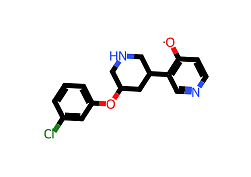 [O]c1ccncc1C1CNCC(Oc2cccc(Cl)c2)C1